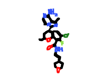 Cc1nc([C@H]2CC(C)Oc3c2cc(Cl)c(F)c3C(=O)NCCC2CCOCC2)n2ccnc(N)c12